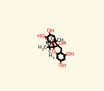 CC(C)(C)C1(O)Cc2c(O)cc(O)cc2OC1(c1ccc(O)c(O)c1)C(C)(C)C